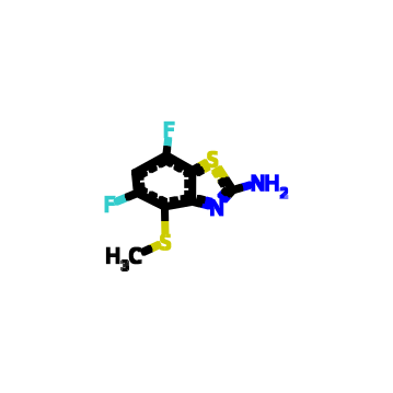 CSc1c(F)cc(F)c2sc(N)nc12